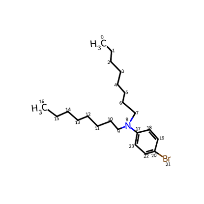 CCCCCCCCN(CCCCCCCC)c1ccc(Br)cc1